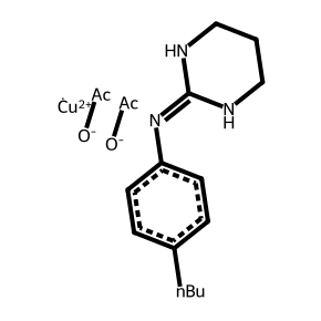 CC(=O)[O-].CC(=O)[O-].CCCCc1ccc(N=C2NCCCN2)cc1.[Cu+2]